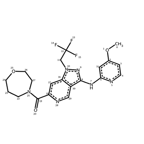 COc1ccnc(Nc2nn(CC(F)(F)F)c3cc(C(=O)N4CCCOCC4)ncc23)c1